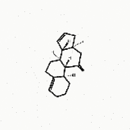 C=C1C[C@]2(C)CC=C[C@H]2[C@@H]2CCC3=CCCC[C@@H]3[C@@H]12